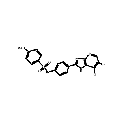 COc1ccc(S(=O)(=O)Nc2ccc(-c3nc4ncc(Cl)c(Cl)c4[nH]3)cc2)cc1